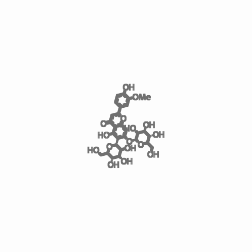 COc1cc(-c2cc(=O)c3c(O)c([C@@H]4OC(CO)[C@@H](O)[C@H](O)C4O)c(O[C@@H]4OC(CO)[C@@H](O)[C@H](O)C4O)cc3o2)ccc1O